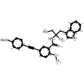 COc1ccc(C#Cc2ccc(OC(F)(F)F)c(C(=O)NC(C)(CO)Cc3c[nH]c4ccccc34)c2)cc1